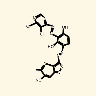 Cc1nc2c(/N=N/c3ccc(O)c(/N=N/c4ncnc(Cl)c4Cl)c3O)snc2cc1C#N